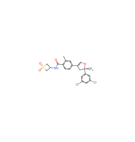 Cc1cc(C2=CO[C@@](c3cc(Cl)cc(Cl)c3)(C(F)(F)F)C2)ccc1C(=O)NC1CS(=O)(=O)C1